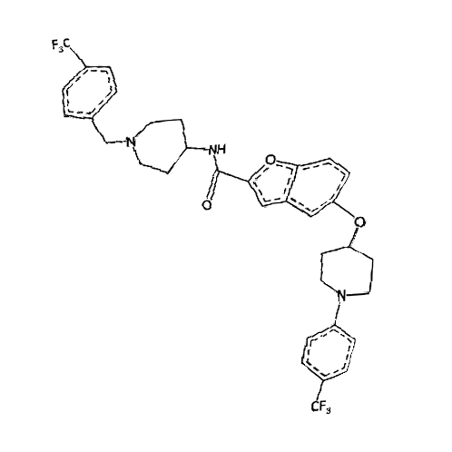 O=C(NC1CCN(Cc2ccc(C(F)(F)F)cc2)CC1)c1cc2cc(OC3CCN(c4ccc(C(F)(F)F)cc4)CC3)ccc2o1